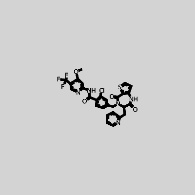 COc1cc(NC(=O)c2ccc(CN3C(=O)c4sccc4NC(=O)C3Cc3ccccn3)cc2Cl)ncc1C(F)(F)F